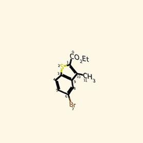 CCOC(=O)c1sc2ccc(Br)cc2c1C